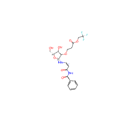 O=C(/C=C\N[C@@H]1O[C@H](CO)C(O)C1OCCC(=O)OCC(F)(F)F)NC(=O)c1ccccc1